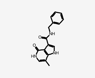 Cc1c[nH]c(=O)c2c(C(=O)NCc3ccccc3)c[nH]c12